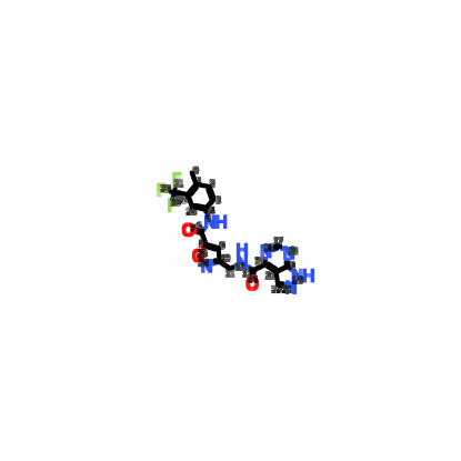 Cc1ccc(NC(=O)c2cc(CNC(=O)c3ncnc4[nH]ncc34)no2)cc1C(F)(F)F